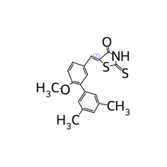 COc1ccc(/C=C2\SC(=S)NC2=O)cc1-c1cc(C)cc(C)c1